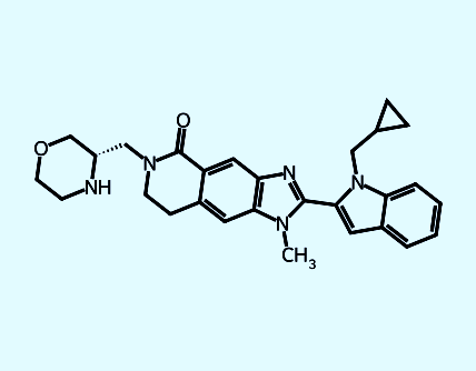 Cn1c(-c2cc3ccccc3n2CC2CC2)nc2cc3c(cc21)CCN(C[C@H]1COCCN1)C3=O